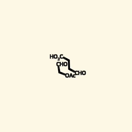 CC(=O)OCC=O.O=CCCC(=O)O